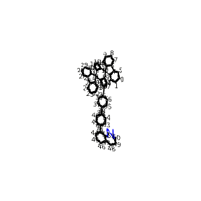 c1ccc2c(c1)-c1ccccc1C21c2ccccc2C2(c3ccccc3-c3ccccc32)c2cc(-c3ccc(-c4ccc(-c5cccc6cccnc56)cc4)cc3)ccc21